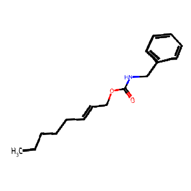 CCCCCC=CCOC(=O)NCc1ccccc1